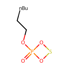 CCCCCCOP1(=O)OSO1